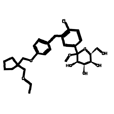 CCOCC1(COc2ccc(Cc3cc(C4(OC)O[C@H](CO)[C@@H](O)[C@H](O)[C@H]4O)ccc3Cl)cc2)CCCC1